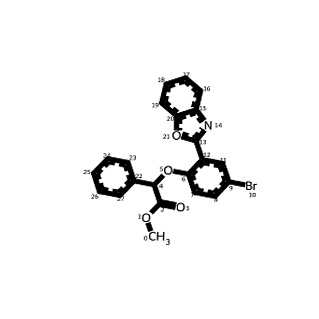 COC(=O)C(Oc1ccc(Br)cc1-c1nc2ccccc2o1)c1ccccc1